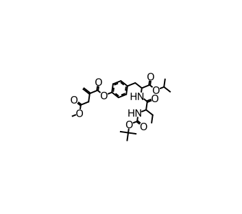 C=C(CC(=O)OC)C(=O)Oc1ccc(CC(NC(=O)C(CC)NC(=O)OC(C)(C)C)C(=O)OC(C)C)cc1